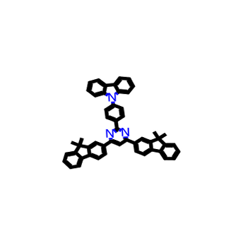 CC1(C)c2ccccc2-c2ccc(-c3cc(-c4ccc5c(c4)C(C)(C)c4ccccc4-5)nc(-c4ccc(-n5c6ccccc6c6ccccc65)cc4)n3)cc21